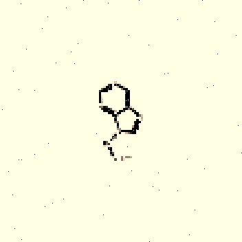 CCCCCNn1cnc2cncnc21